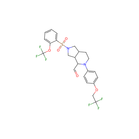 O=CC1C2CN(S(=O)(=O)c3ccccc3OC(F)(F)F)CC2CCN1c1ccc(OCC(F)(F)F)cc1